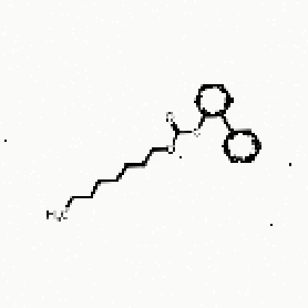 CCCCCCCCOC(=O)Oc1ccccc1-c1ccccc1